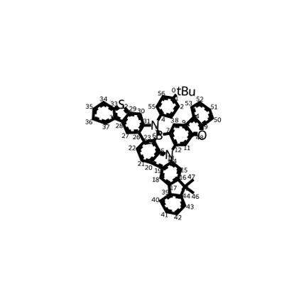 CC(C)(C)c1ccc(N2B3c4cc5c(cc4-n4c6cc7c(cc6c6ccc(c3c64)-c3cc4c(cc32)sc2ccccc24)-c2ccccc2C7(C)C)oc2ccccc25)cc1